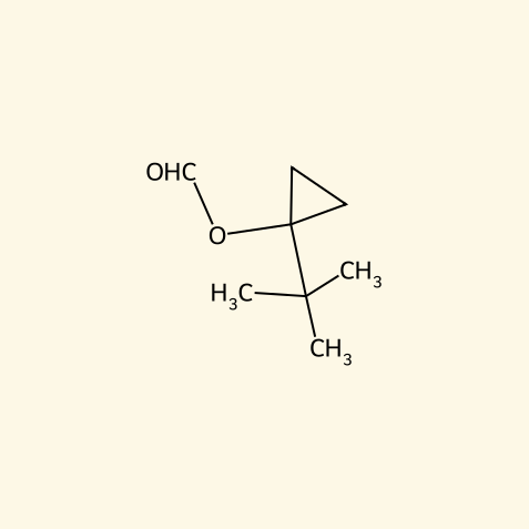 CC(C)(C)C1(OC=O)CC1